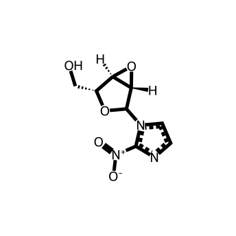 O=[N+]([O-])c1nccn1C1O[C@H](CO)[C@H]2O[C@H]12